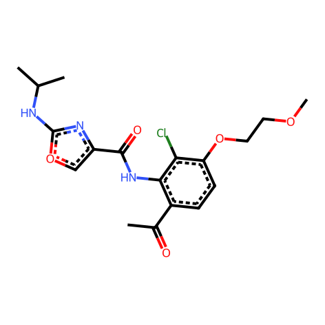 COCCOc1ccc(C(C)=O)c(NC(=O)c2coc(NC(C)C)n2)c1Cl